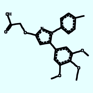 COc1cc(-c2cc(OCC(=O)O)nn2-c2ccc(C)cc2)cc(OC)c1OC